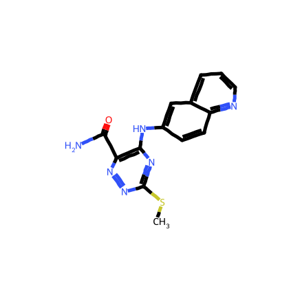 CSc1nnc(C(N)=O)c(Nc2ccc3ncccc3c2)n1